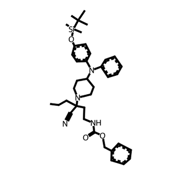 CCCC(C#N)(CCNC(=O)OCc1ccccc1)N1CCC(N(c2ccccc2)c2ccc(O[Si](C)(C)C(C)(C)C)cc2)CC1